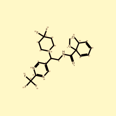 COC1(C(=O)NCC(c2cnc(C(F)(F)F)nc2)N2CCC(F)(F)CC2)C=CC=CC1Cl